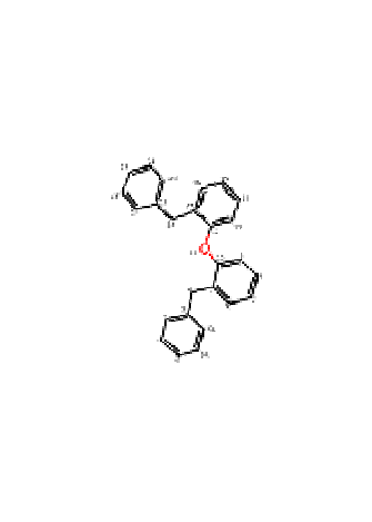 c1ccc(Cc2ccccc2Oc2ccccc2Cc2ccccc2)cc1